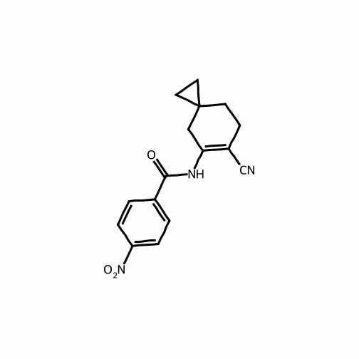 N#CC1=C(NC(=O)c2ccc([N+](=O)[O-])cc2)CC2(CC1)CC2